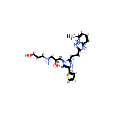 Cc1cccc2nc(CCc3nc(-c4cccs4)cn3CC(O)CNCCCO)nn12